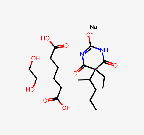 CCCC(C)C1(CC)C(=O)N=C([O-])NC1=O.O=C(O)CCCCC(=O)O.OCCO.[Na+]